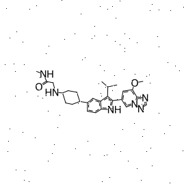 CNC(=O)CNC1CCC(c2ccc3[nH]c(-c4cc(OC)c5ncnn5c4)c(C(C)C)c3c2)CC1